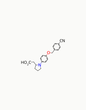 N#Cc1ccc(COc2ccc(N3CCCC3CC(=O)O)cc2)cc1